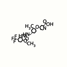 CCOc1ccc(C(F)(F)F)cc1NC(=O)NCc1ccc(Oc2ccnc(C(=O)O)c2)c(C)c1